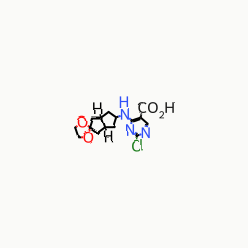 O=C(O)c1cnc(Cl)nc1NC1C[C@@H]2CC3(C[C@@H]2C1)OCCO3